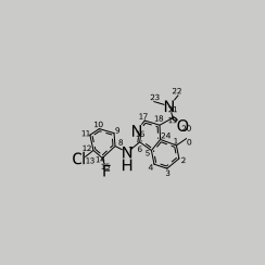 Cc1cccc2c(Nc3cccc(Cl)c3F)ncc(C(=O)N(C)C)c12